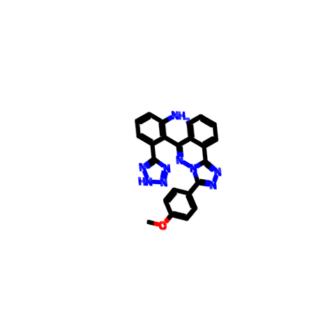 COc1ccc(-c2nnc3c4ccccc4c(-c4c(N)cccc4-c4nn[nH]n4)nn23)cc1